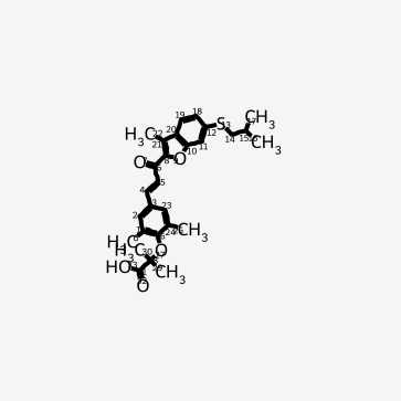 Cc1cc(C=CC(=O)c2oc3cc(SCC(C)C)ccc3c2C)cc(C)c1OC(C)(C)C(=O)O